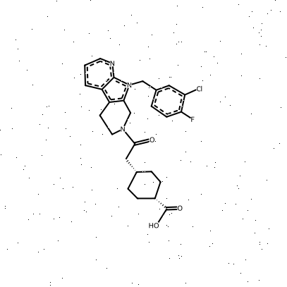 O=C(C[C@H]1CC[C@@H](C(=O)O)CC1)N1CCc2c(n(Cc3ccc(F)c(Cl)c3)c3ncccc23)C1